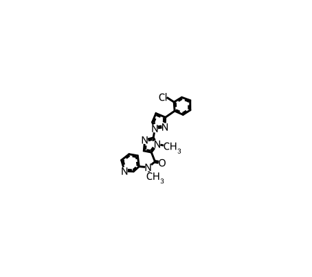 CN(C(=O)c1cnc(-n2ccc(-c3ccccc3Cl)n2)n1C)c1cccnc1